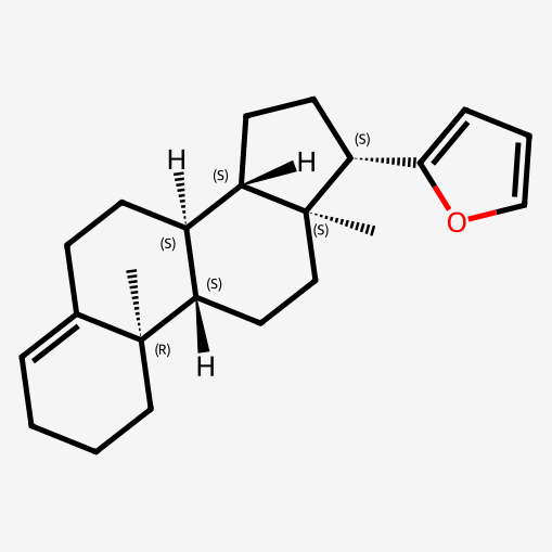 C[C@]12CC[C@H]3[C@@H](CCC4=CCCC[C@@]43C)[C@@H]1CC[C@@H]2c1ccco1